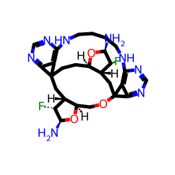 N[C@@H]1O[C@@H]2CCC34C[C@H]5[C@@H](F)[C@H](N)O[C@@H]5COC5(C[C@H]2[C@H]1F)c1ncnc(c15)NCCCCNc1ncnc3c14